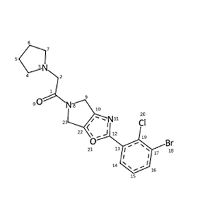 O=C(CN1CCCC1)N1Cc2nc(-c3cccc(Br)c3Cl)oc2C1